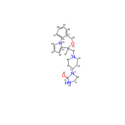 CC1(CN2CCC(N3CCNC3=O)CC2)OCc2ccccc2-n2cccc21